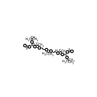 CC(C)(C)c1ccc(N(c2ccc3c(c2)C(C)(C)c2cc(/C=C/c4ccc5c(c4)C(C)(C)c4cc(/C=C/c6ccc7c(c6)C(C)(C)c6cc(N(c8ccc(C(C)(C)C)cc8)c8ccc9sc%10ccccc%10c9c8)ccc6-7)ccc4-5)ccc2-3)c2ccc3sc4ccccc4c3c2)cc1